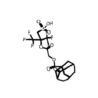 O=C(COC(=O)C12CC3CC(C1)C(=O)C(C3)C2)OC(CS(=O)(=O)O)(C(F)(F)F)C(F)(F)F